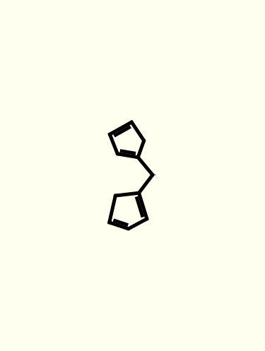 [CH](C1=CC=CC1)C1=CC=CC1